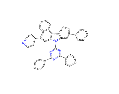 c1ccc(-c2ccc3c4c5ccccc5c(-c5ccncc5)cc4n(-c4nc(-c5ccccc5)nc(-c5ccccc5)n4)c3c2)cc1